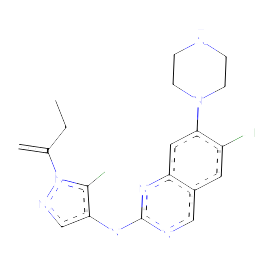 C=C(CC)n1ncc(Nc2ncc3cc(Cl)c(N4CCNCC4)cc3n2)c1Cl